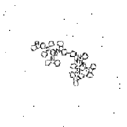 c1ccc([Si](c2ccccc2)(c2cc(-n3c4ccccc4c4ccccc43)nc(-n3c4ccccc4c4cc(-c5ccc6c(c5)nc5n(-c7cc([Si](c8ccccc8)(c8ccccc8)c8cccc9c8oc8ccccc89)cc(-n8c9ccccc9c9ccccc98)n7)c7ccccc7n65)ccc43)c2)c2ccc3oc4ccccc4c3c2)cc1